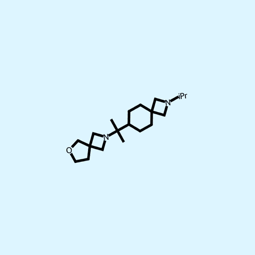 CC(C)N1CC2(CCC(C(C)(C)N3CC4(CCOC4)C3)CC2)C1